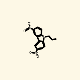 CCCn1c2ccc([N+](=O)[O-])cc2c2cc([N+](=O)[O-])ccc21